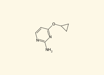 Nc1nccc(OC2CC2)n1